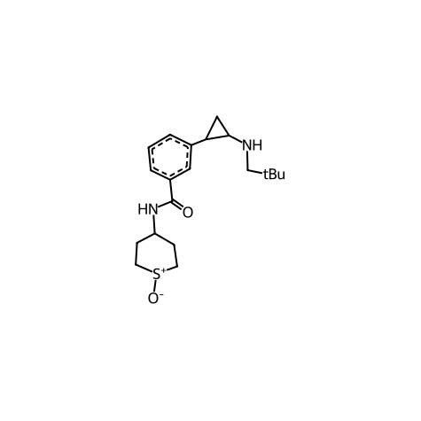 CC(C)(C)CNC1CC1c1cccc(C(=O)NC2CC[S+]([O-])CC2)c1